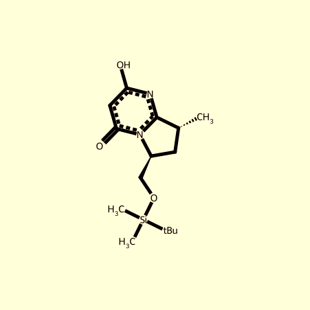 C[C@@H]1C[C@@H](CO[Si](C)(C)C(C)(C)C)n2c1nc(O)cc2=O